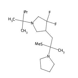 CSC(C)(CC1CN(C(C)(C)C(C)C)CC1(F)F)N1CCCC1